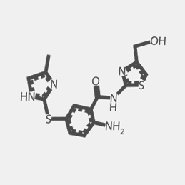 Cc1c[nH]c(Sc2ccc(N)c(C(=O)Nc3nc(CO)cs3)c2)n1